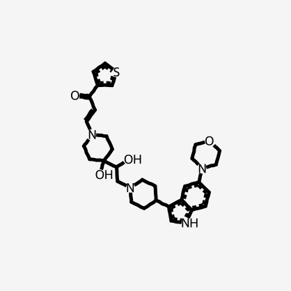 O=C(C=CN1CCC(O)(C(O)CN2CCC(c3c[nH]c4ccc(N5CCOCC5)cc34)CC2)CC1)c1ccsc1